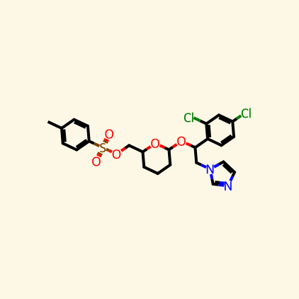 Cc1ccc(S(=O)(=O)OCC2CCCC(OC(Cn3ccnc3)c3ccc(Cl)cc3Cl)O2)cc1